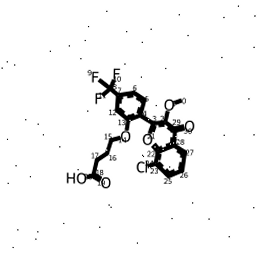 COc1c(-c2ccc(C(F)(F)F)cc2OCCCC(=O)O)oc2c(Cl)cccc2c1=O